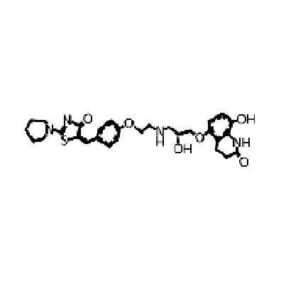 O=C1CCc2c(OC[C@@H](O)CNCCOc3ccc(C=C4SC(N5CCCCC5)=NC4=O)cc3)ccc(O)c2N1